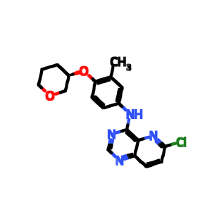 Cc1cc(Nc2ncnc3ccc(Cl)nc23)ccc1O[C@@H]1CCCOC1